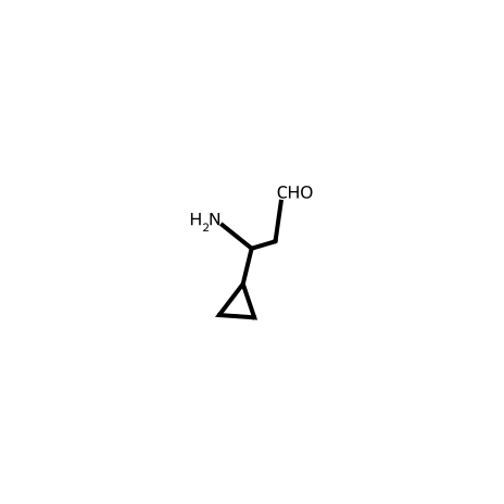 NC(CC=O)C1CC1